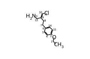 CCOc1ccc(CC/C(=C\Cl)CN)cc1